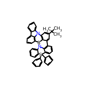 CC(C)(C)c1cc2c3c(c1)-n1c4ccccc4c4cccc(c41)B3N1c3ccccc3[Si](c3ccccc3)(c3ccccc3)c3cccc-2c31